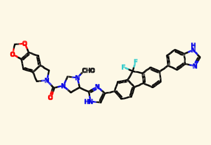 O=CN1CN(C(=O)N2Cc3cc4c(cc3C2)OCO4)CC1c1nc(-c2ccc3c(c2)C(F)(F)c2cc(-c4ccc5[nH]cnc5c4)ccc2-3)c[nH]1